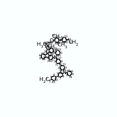 C=Cc1ccc(-c2ccc3c(c2)c2cc(-c4ccc(N(c5ccccc5)c5ccc6c(c5)C(CCC[Si](C)(C)CCOc5cc(C)c(-c7ccc(C=C)cc7)cc5C)(c5ccccc5)c5ccccc5-6)cc4)ccc2n3-c2ccccc2)cc1